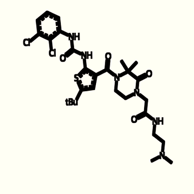 CN(C)CCNC(=O)CN1CCN(C(=O)c2cc(C(C)(C)C)sc2NC(=O)Nc2cccc(Cl)c2Cl)C(C)(C)C1=O